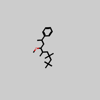 COC(CC(C)c1ccccc1)C(C)CC(C)(C)CC(C)(C)C